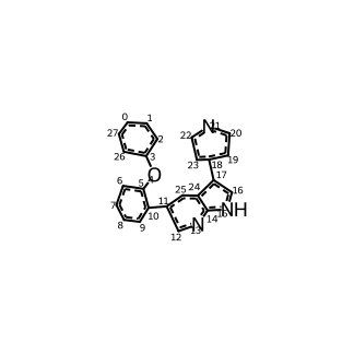 c1ccc(Oc2ccccc2-c2cnc3[nH]cc(-c4ccncc4)c3c2)cc1